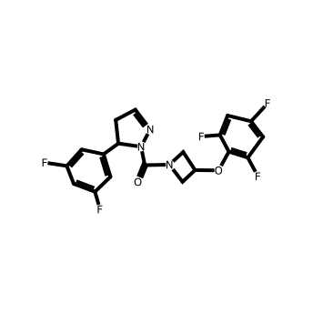 O=C(N1CC(Oc2c(F)cc(F)cc2F)C1)N1N=CCC1c1cc(F)cc(F)c1